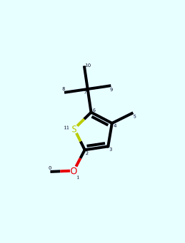 COc1cc(C)c(C(C)(C)C)s1